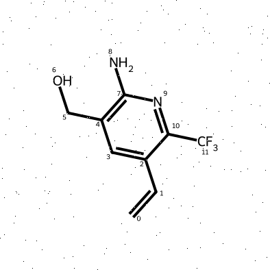 C=Cc1cc(CO)c(N)nc1C(F)(F)F